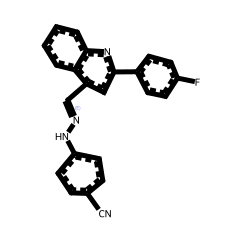 N#Cc1ccc(N/N=C/c2cc(-c3ccc(F)cc3)nc3ccccc23)cc1